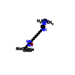 CO[Si](CCCNCC(=O)NCCCCCCCCCCCCNc1ccc(/N=N/c2n(C)cc[n+]2C)cc1)(OC)OC